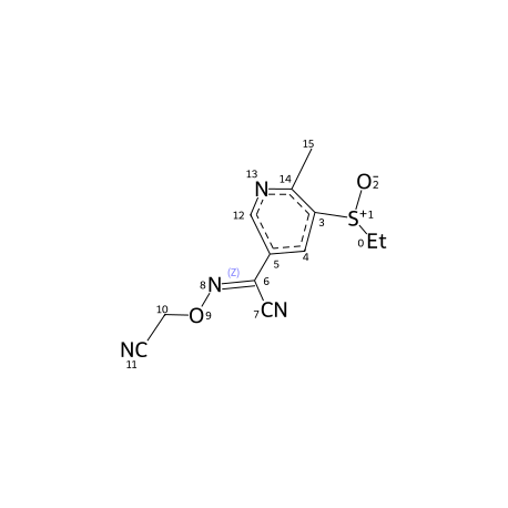 CC[S+]([O-])c1cc(/C(C#N)=N/OCC#N)cnc1C